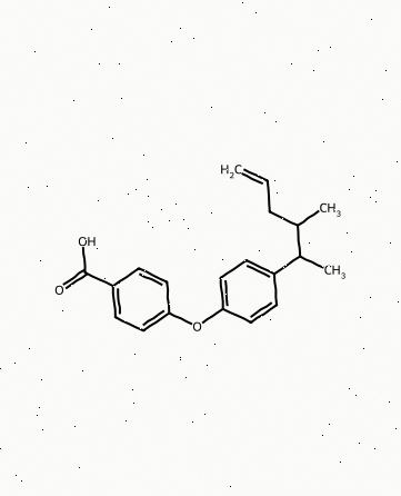 C=CCC(C)C(C)c1ccc(Oc2ccc(C(=O)O)cc2)cc1